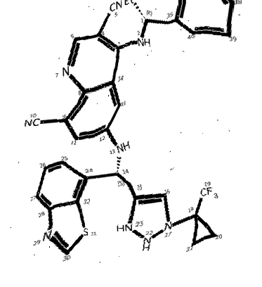 CC[C@@H](Nc1c(C#N)cnc2c(C#N)cc(N[C@H](C3=CN(C4(C(F)(F)F)CC4)NN3)c3cccc4ncsc34)cc12)c1ccccc1